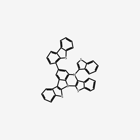 c1ccc2c(N3c4cc(-c5cccc6c5sc5ccccc56)cc5c4B(c4sc6ccccc6c4-5)c4sc5ccccc5c43)csc2c1